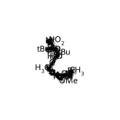 COc1cc2nn(C3CCC(CN(C)CCCOCCCNC(=O)[C@@H](NC(=O)[C@H](CCCn4ccnc4[N+](=O)[O-])NC(=O)OC(C)(C)C)C(C)(C)C)CC3)cc2cc1NC(=O)c1cccc(C(C)(F)F)n1